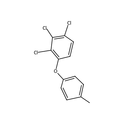 Cc1ccc(Oc2ccc(Cl)c(Cl)c2Cl)cc1